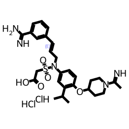 CC(=N)N1CCC(Oc2ccc(N(C/C=C/c3cccc(C(=N)N)c3)S(=O)(=O)CC(=O)O)cc2C(C)C)CC1.Cl.Cl